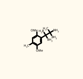 BC(C)(N)C(B)(B)c1cc(OC)c(C)cc1OC